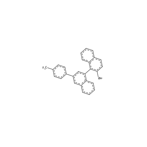 CCC(C)c1ccc2ccccc2c1-c1cc(-c2ccc(C(F)(F)F)cc2)cc2ccccc12